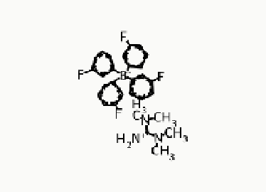 CN(C)C(=[NH2+])N(C)C.Fc1cccc([B-](c2cccc(F)c2)(c2cccc(F)c2)c2cccc(F)c2)c1